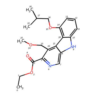 CCOC(=O)c1ncc2[nH]c3cccc(OCC(C)C)c3c2c1COC